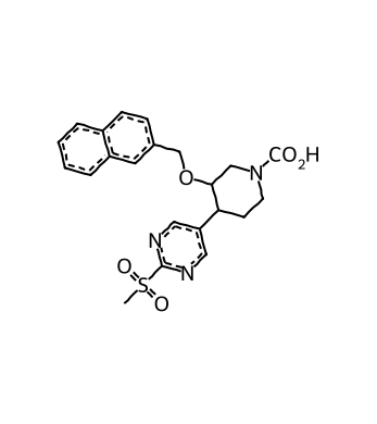 CS(=O)(=O)c1ncc(C2CCN(C(=O)O)CC2OCc2ccc3ccccc3c2)cn1